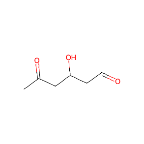 CC(=O)CC(O)CC=O